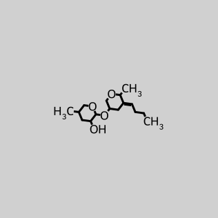 CCC/C=C1\CC(OC2OCC(C)CC2O)COC1C